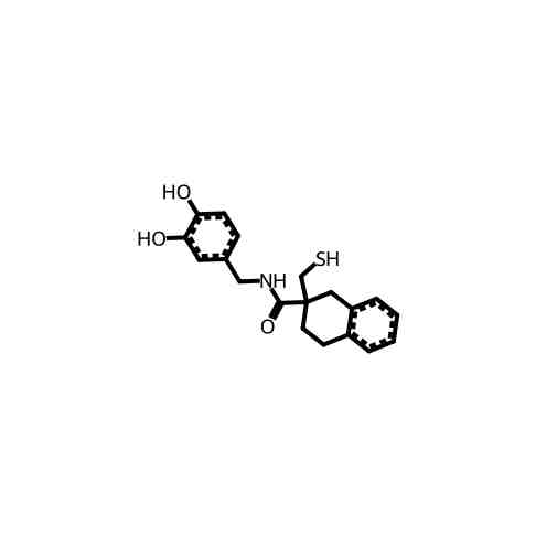 O=C(NCc1ccc(O)c(O)c1)C1(CS)CCc2ccccc2C1